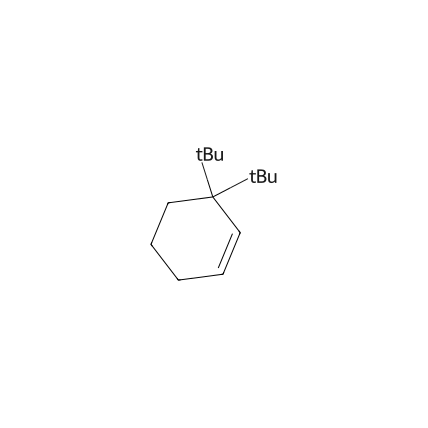 CC(C)(C)C1(C(C)(C)C)C=CCCC1